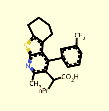 CCCC(C(=O)O)c1c(C)nc2sc3c(c2c1-c1cccc(C(F)(F)F)c1)CCCC3